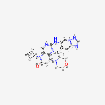 Cc1cc2ncnn2cc1Nc1ncc2c(n1)c(N1CCOCC1)cc(=O)n2C12CC(C1)C2